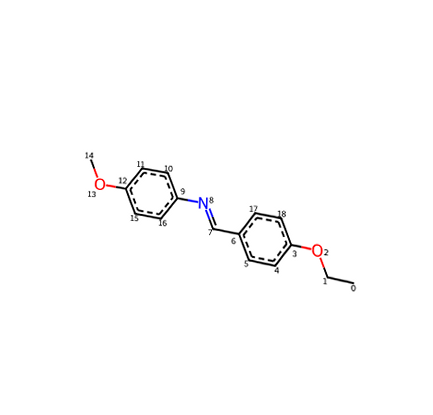 CCOc1ccc(C=Nc2ccc(OC)cc2)cc1